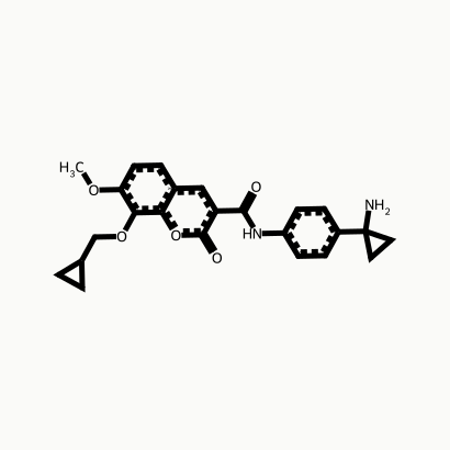 COc1ccc2cc(C(=O)Nc3ccc(C4(N)CC4)cc3)c(=O)oc2c1OCC1CC1